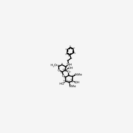 CNC1C2O[C@@]3(O)C(NCCc4ccccc4)C[C@@H](C)OC3OC2[C@@H](O)[C@H](NC)[C@@H]1O